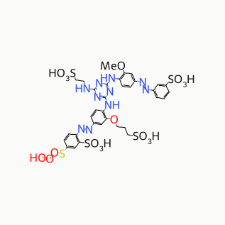 COc1cc(N=Nc2cccc(S(=O)(=O)O)c2)ccc1Nc1nc(NCCS(=O)(=O)O)nc(Nc2ccc(N=Nc3ccc(SOOO)cc3S(=O)(=O)O)cc2OCCCS(=O)(=O)O)n1